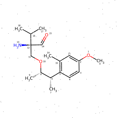 COc1ccc([C@H](C)[C@H](C)OC[C@@](N)(C=O)C(C)C)c(C)c1